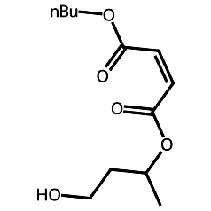 CCCCOC(=O)/C=C\C(=O)OC(C)CCO